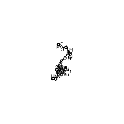 C[C@@H](C(=O)N[C@H](C(=O)N1Cc2cc(OCCOCCOCCOCCCn3c(CNc4cccc(C(=O)NCc5c(F)cccc5F)c4)nnc3-c3ccncn3)ccc2CC1C(=O)N[C@@H]1CCCc2ccccc21)C(C)(C)C)N(C)C(=O)OC(C)(C)C